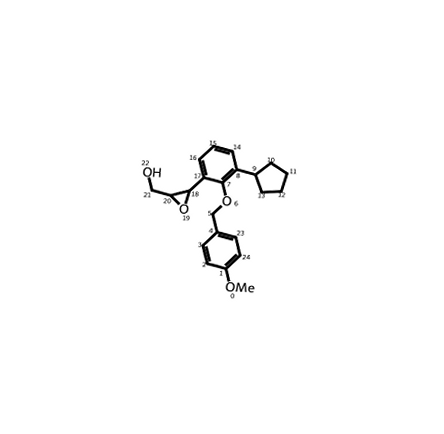 COc1ccc(COc2c(C3CCCC3)cccc2C2OC2CO)cc1